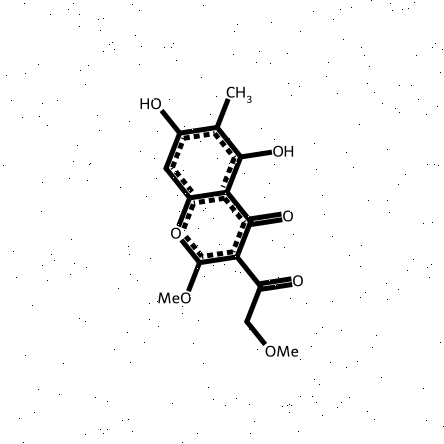 COCC(=O)c1c(OC)oc2cc(O)c(C)c(O)c2c1=O